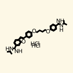 CC(C)NC(=N)c1ccc(OCCCCOc2ccc(-c3cc4ccc(C(=N)NC(C)C)cc4o3)cc2)cc1.Cl.Cl